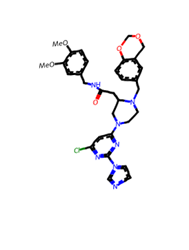 COc1ccc(CNC(=O)CC2CN(c3cc(Cl)nc(-n4ccnc4)n3)CCN2Cc2ccc3c(c2)COCO3)cc1OC